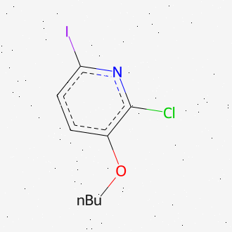 CCCCOc1ccc(I)nc1Cl